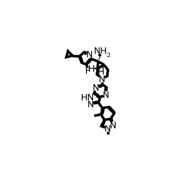 Cc1c(-c2n[nH]c3nc(N4CC[C@@H]5[C@H](C4)[C@@]5(CN)c4ncc(C5CC5)cc4F)cnc23)ccc2nn(C)cc12